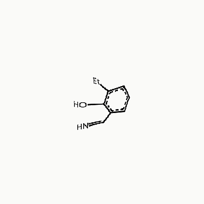 CCc1cccc(C=N)c1O